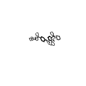 CC(C)(C)OC(=O)c1ccc(N2CCOc3nc(C(=O)N4CCCCC4)ccc32)cc1